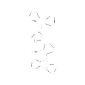 N#Cc1c(-c2cc(-n3c4ccccc4c4ccccc43)ccn2)cccc1-n1c2ccccc2c2ccccc21